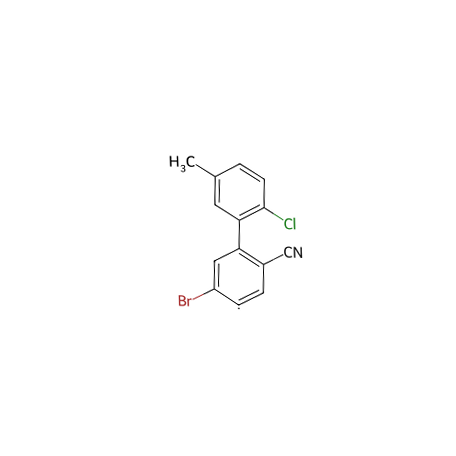 Cc1ccc(Cl)c(-c2cc(Br)[c]cc2C#N)c1